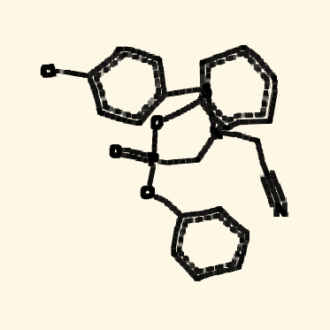 N#CCN(CP(=O)(Oc1ccccc1)Oc1ccccc1)Sc1ccc(Cl)cc1